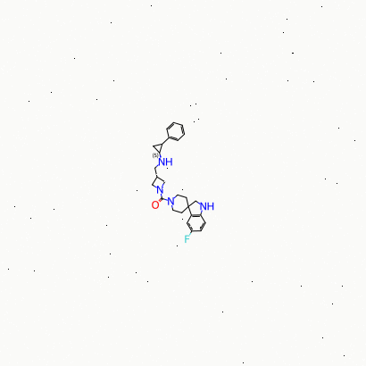 O=C(N1CCC2(CC1)CNc1ccc(F)cc12)N1CC(CN[C@H]2CC2c2ccccc2)C1